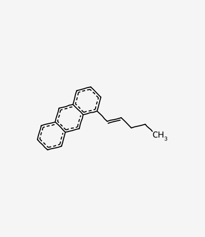 CCC/C=C/c1cccc2cc3ccccc3cc12